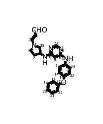 O=CC=CN1CCC(Nc2cc(Nc3ccc(Oc4ccccc4)cc3)ncn2)C1